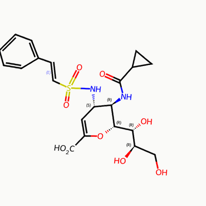 O=C(O)C1=C[C@H](NS(=O)(=O)/C=C/c2ccccc2)[C@@H](NC(=O)C2CC2)[C@H]([C@H](O)[C@H](O)CO)O1